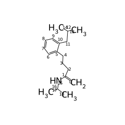 C=C(CCCc1ccccc1CC(C)C)NC(C)C